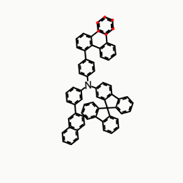 c1ccc(-c2ccccc2-c2c(-c3ccccc3)cccc2-c2ccc(N(c3cccc(-c4ccc5ccccc5c4)c3)c3ccc4c(c3)C3(c5ccccc5-c5ccccc53)c3ccccc3-4)cc2)cc1